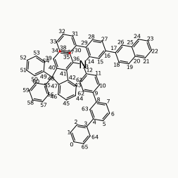 c1ccc(-c2cccc(-c3ccc(N(c4cc(-c5ccc6ccccc6c5)ccc4-c4ccccc4)c4cccc5c4-c4ccccc4C5(c4ccccc4)c4ccccc4)cc3)c2)cc1